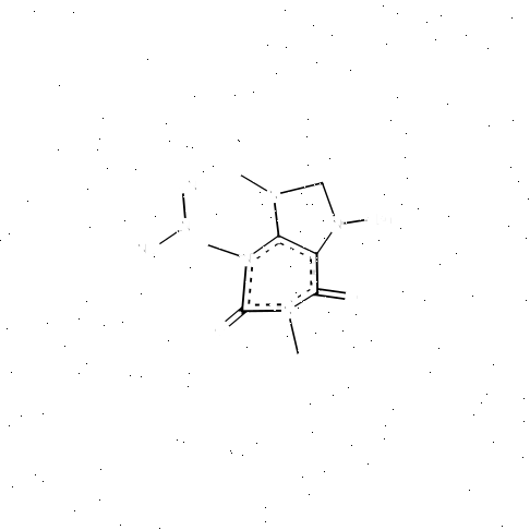 CCCCN1CN(C)c2c1c(=O)n(C)c(=O)n2C.N#CNC#N